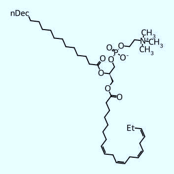 CC/C=C\C/C=C\C/C=C\C/C=C\CCCCCCC(=O)OC[C@H](COP(=O)([O-])OCC[N+](C)(C)C)OC(=O)CCCCCCCCCCCCCCCCCCCCC